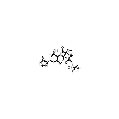 CO[C@@]1(NC(=O)C[S+]([O-])C(F)(F)F)C(=O)N2C(C(=O)O)=C(CSc3nnnn3C)CS[C@H]21